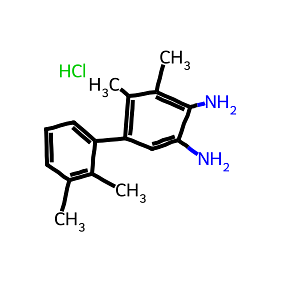 Cc1cccc(-c2cc(N)c(N)c(C)c2C)c1C.Cl